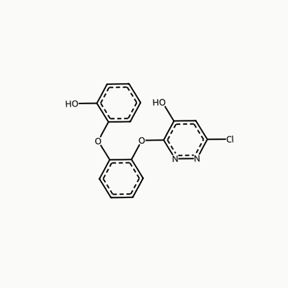 Oc1ccccc1Oc1ccccc1Oc1nnc(Cl)cc1O